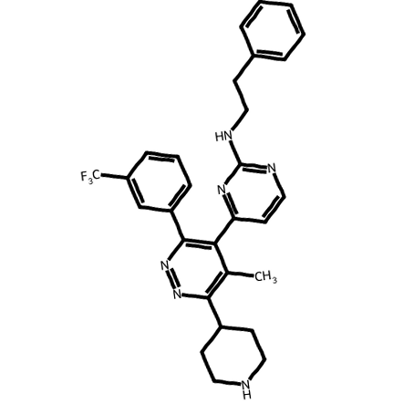 Cc1c(C2CCNCC2)nnc(-c2cccc(C(F)(F)F)c2)c1-c1ccnc(NCCc2ccccc2)n1